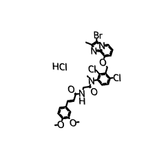 COc1ccc(C=CC(=O)NCC(=O)N(C)c2ccc(Cl)c(COc3cccn4c(Br)c(C)nc34)c2Cl)cc1OC.Cl